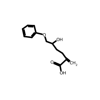 C=C(CCC(O)COc1ccccc1)C(=O)O